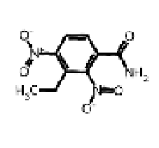 CCc1c([N+](=O)[O-])ccc(C(N)=O)c1[N+](=O)[O-]